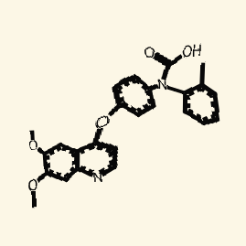 COc1cc2nccc(Oc3ccc(N(C(=O)O)c4ccccc4C)cc3)c2cc1OC